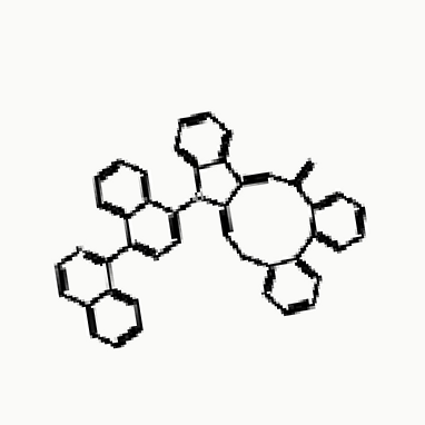 C=C1/C=c2\c(n(-c3ccc(-c4nccc5ccccc45)c4ccccc34)c3ccccc23)=C/Cc2ccccc2-c2ccccc21